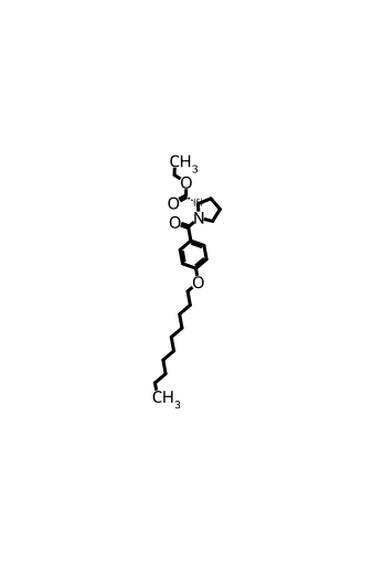 CCCCCCCCCCOc1ccc(C(=O)N2CCC[C@H]2C(=O)OCC)cc1